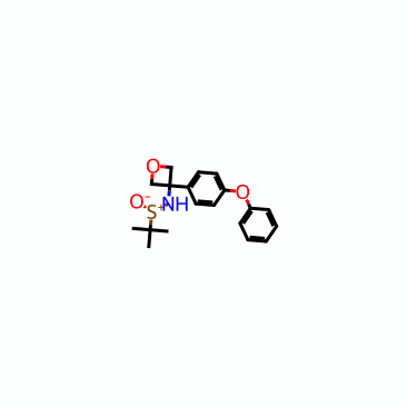 CC(C)(C)[S@@+]([O-])NC1(c2ccc(Oc3ccccc3)cc2)COC1